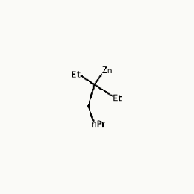 CCCC[C]([Zn])(CC)CC